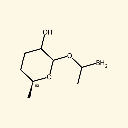 BC(C)OC1O[C@@H](C)CCC1O